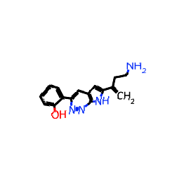 C=C(CCN)c1cc2cc(-c3ccccc3O)nnc2[nH]1